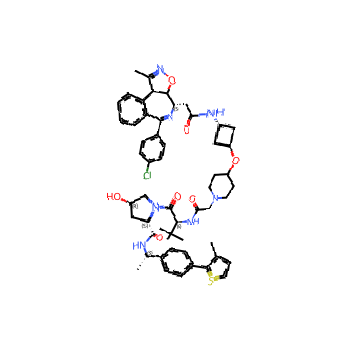 CC1=NOC2C1c1ccccc1C(c1ccc(Cl)cc1)=N[C@H]2CC(=O)N[C@H]1C[C@H](OC2CCN(CC(=O)N[C@H](C(=O)N3C[C@H](O)C[C@H]3C(=O)N[C@@H](C)c3ccc(-c4sccc4C)cc3)C(C)(C)C)CC2)C1